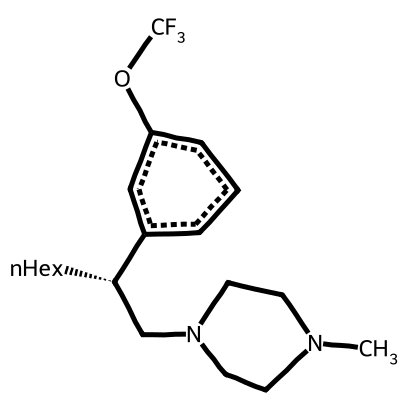 CCCCCC[C@@H](CN1CCN(C)CC1)c1cccc(OC(F)(F)F)c1